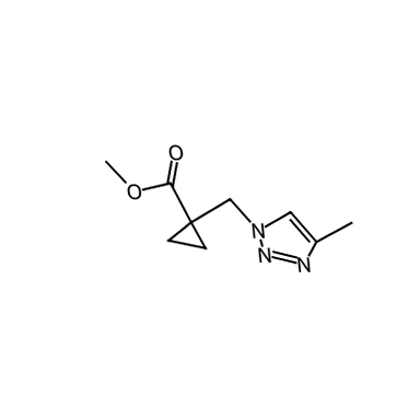 COC(=O)C1(Cn2cc(C)nn2)CC1